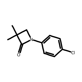 CC1(C)CN(c2ccc(Cl)cc2)C1=O